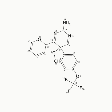 COC1(c2ccc(OC(F)(F)F)cc2)C=NC(N)N=C1C1C=CC=CO1